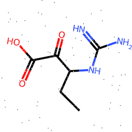 CCC(NC(=N)N)C(=O)C(=O)O